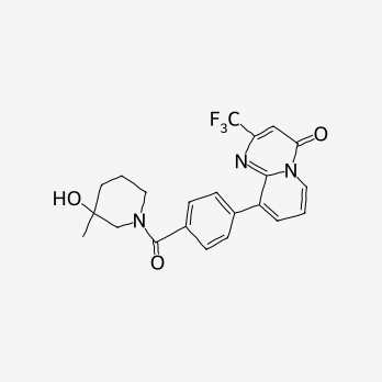 CC1(O)CCCN(C(=O)c2ccc(-c3cccn4c(=O)cc(C(F)(F)F)nc34)cc2)C1